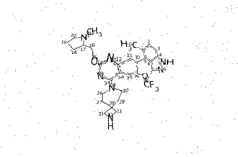 Cc1ccc2[nH]ncc2c1-c1cc2nc(OCC3CCCN3C)nc(N3CCC4(CC3)CNC4)c2cc1OC(F)(F)F